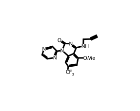 C#CCNc1nc(=O)n(-c2cnccn2)c2cc(C(F)(F)F)cc(OC)c12